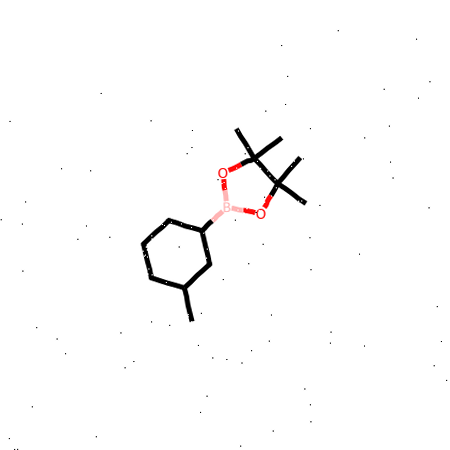 CC1CCCC(B2OC(C)(C)C(C)(C)O2)C1